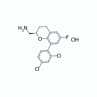 Cl.NC[C@H]1CCc2cc(F)cc(-c3ccc(Cl)cc3Cl)c2O1